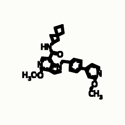 CCOc1cc(-c2ccc(Cn3ccc4c(OC)ncc(C(=O)NC5CC6(CCC6)C5)c43)cc2)ccn1